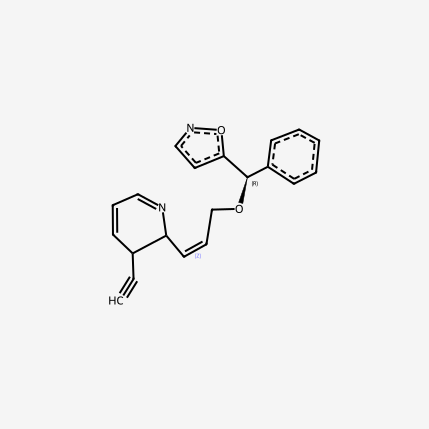 C#CC1C=CC=NC1/C=C\CO[C@H](c1ccccc1)c1ccno1